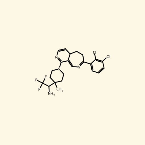 CC1(C(N)C(F)(F)F)CCN(C2=NC=CC3CCC(c4cccc(Cl)c4Cl)=NC=C23)CC1